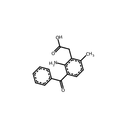 Cc1ccc(C(=O)c2ccccc2)c(N)c1CC(=O)O